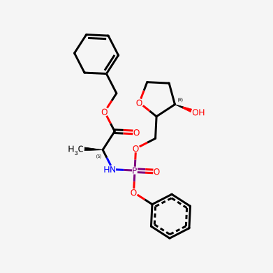 C[C@H](NP(=O)(OCC1OCC[C@H]1O)Oc1ccccc1)C(=O)OCC1=CC=CCC1